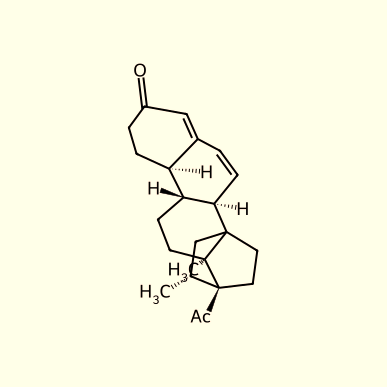 CC(=O)[C@@]12CCC3(C[C@H]1C)[C@@H]1C=CC4=CC(=O)CC[C@@H]4[C@H]1CC[C@@]32C